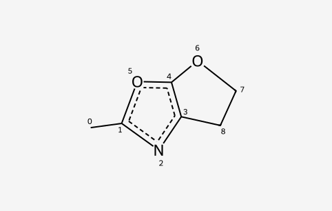 Cc1nc2c(o1)OCC2